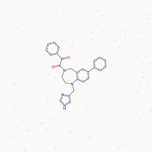 O=C(C(=O)N1CCN(Cc2c[nH]cn2)c2ccc(-c3ccccc3)cc2C1)c1ccccc1